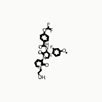 COc1ccc([C@@H]2CN(c3cccn(CCO)c3=O)C(=O)C2NC(=O)c2ccc(OC(F)F)cc2)c(F)c1